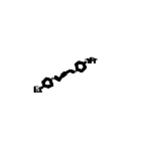 CCC[C@H]1CC[C@H](C=CC#CC=C[C@H]2CC[C@H](CC)CC2)CC1